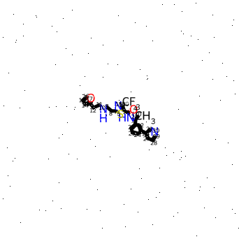 CC(NC(=O)c1sc(CCNCCc2ccco2)nc1C(F)(F)F)c1cccc(-c2cccnc2)c1